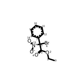 CCOC(=O)C(Br)(c1ccccc1)[N+](=O)[O-]